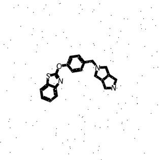 c1ccc2sc(Oc3ccc(CN4CC5C[N]CC5C4)cc3)nc2c1